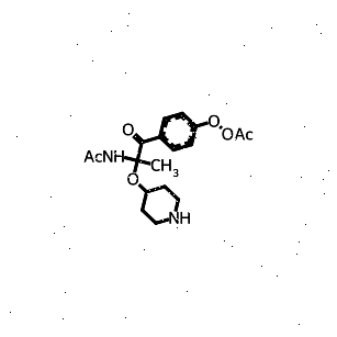 CC(=O)NC(C)(OC1CCNCC1)C(=O)c1ccc(OOC(C)=O)cc1